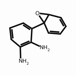 Nc1cccc(C23C=CC=CC2O3)c1N